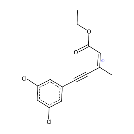 CCOC(=O)/C=C(/C)C#Cc1cc(Cl)cc(Cl)c1